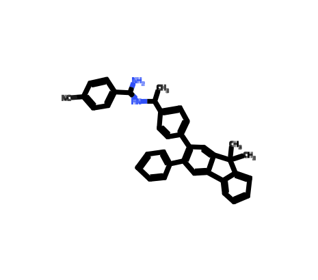 CC(NC(N)c1ccc(C#N)cc1)c1ccc(-c2cc3c(cc2-c2ccccc2)-c2ccccc2C3(C)C)cc1